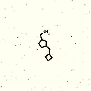 NCC1CCC(CC2CCC2)C1